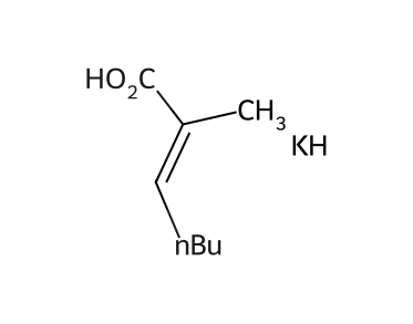 CCCCC=C(C)C(=O)O.[KH]